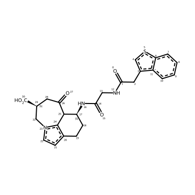 O=C(Cc1csc2ccccc12)NCC(=O)N[C@H]1CCc2ccn3c2C1C(=O)C[C@H](C(=O)O)C3